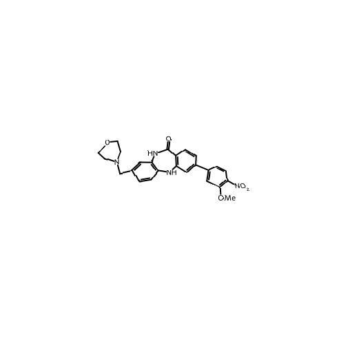 COc1cc(-c2ccc3c(c2)Nc2ccc(CN4CCOCC4)cc2NC3=O)ccc1[N+](=O)[O-]